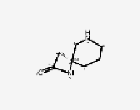 O=C1C[C@]2(CCCNC2)N1